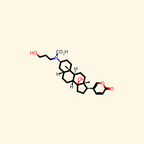 C[C@]12CC[C@H](N(CCCO)C(=O)O)C[C@H]1CC[C@@H]1[C@@H]2CC[C@]2(C)[C@@H](c3ccc(=O)oc3)CC[C@]12O